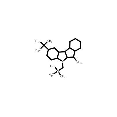 CC1C2CCCCC2C2C3CC(C(C)(C)C)CCC3N(CS(C)(C)C)C12